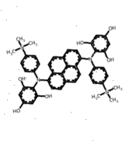 C[Si](C)(C)c1ccc(N(c2c(O)cc(O)cc2O)c2ccc3ccc4c(N(c5ccc([Si](C)(C)C)cc5)c5c(O)cc(O)cc5O)ccc5ccc2c3c54)cc1